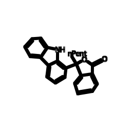 CCCCCC1(c2cccc3c2[nH]c2ccccc23)OC(=O)c2ccccc21